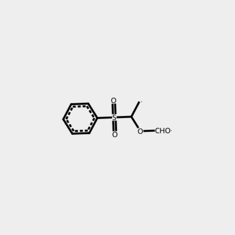 [CH2]C(O[C]=O)S(=O)(=O)c1ccccc1